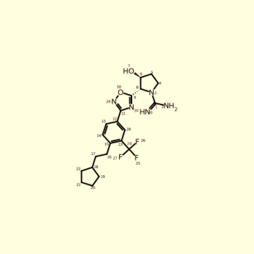 N=C(N)N1CC[C@H](O)[C@H]1c1nc(-c2ccc(CCC3CCCC3)c(C(F)(F)F)c2)no1